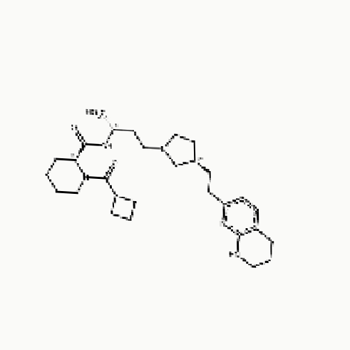 O=C(O)[C@H](CCN1CC[C@@H](CCc2ccc3c(n2)NCCC3)C1)NC(=O)[C@@H]1CCCCN1C(=O)C1CCC1